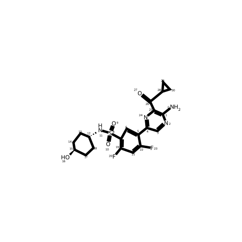 Nc1ncc(-c2cc(S(=O)(=O)N[C@H]3CC[C@H](O)CC3)c(F)cc2F)nc1C(=O)C1CC1